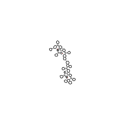 c1ccc(-c2ccc(N(c3ccccc3)c3ccc4c(c3)C3(c5cc(N(c6ccccc6)c6ccc7ccc(-c8ccc9c(c8)cc(N(c8ccccc8)c8ccc%10c(c8)C8(c%11cc(N(c%12ccccc%12)c%12cc%13ccccc%13c%13ccccc%12%13)ccc%11-%10)c%10ccccc%10N(c%10ccccc%10)c%10ccccc%108)c8ccccc89)cc7c6)ccc5-4)c4ccccc4N(c4ccccc4)c4ccccc43)cc2)cc1